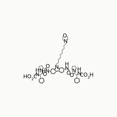 O=C(O)NC(C(=O)N1CCC[C@H]1C(=O)Nc1ccc2c3ccc(NC(=O)[C@@H]4CCCN4C(=O)C(NC(=O)O)c4ccccc4)cc3n(CCCCCCCCCCN3CCOCC3)c2c1)c1ccccc1